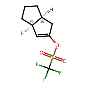 O=S(=O)(OC1=C[C@H]2CCC[C@H]2C1)C(F)(F)F